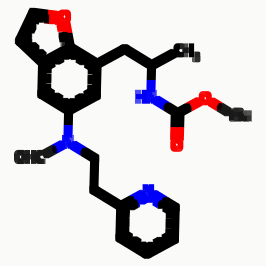 CC(Cc1cc(N(C=O)CCc2ccccn2)cc2ccoc12)NC(=O)OC(C)(C)C